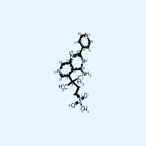 CC(C)(CCS(C)(=O)=O)c1cncc2nc(-c3ccncc3)nc(N)c12